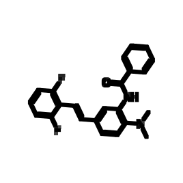 CN(C)c1ccc(C=Cc2c(F)cccc2F)cc1NC(=O)c1ccccc1